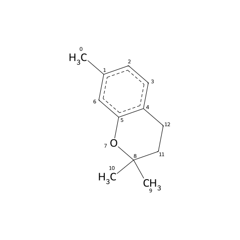 Cc1ccc2c(c1)OC(C)(C)CC2